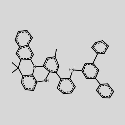 Cc1cc(-c2ccccc2Nc2cc(-c3ccccc3)cc(-c3ccccc3)c2)c2c(c1)N1c3cc4ccccc4cc3C(C)(C)c3cccc(c31)B2